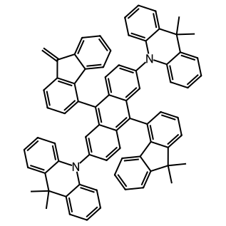 C=C1c2ccccc2-c2c1cccc2-c1c2cc(N3c4ccccc4C(C)(C)c4ccccc43)ccc2c(-c2cccc3c2-c2ccccc2C3(C)C)c2cc(N3c4ccccc4C(C)(C)c4ccccc43)ccc12